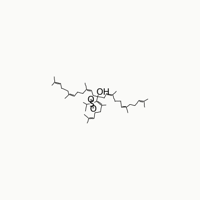 CC(C)=CCCC(C)=CCCC(C)=CCC(O)(CC=C(C)CCC=C(C)CCC=C(C)C)/C(=C(\C)CCC=C(C)C)S(=O)(=O)C(C)C